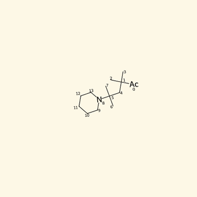 CC(=O)C(C)(C)CC(C)(C)N1CCCCC1